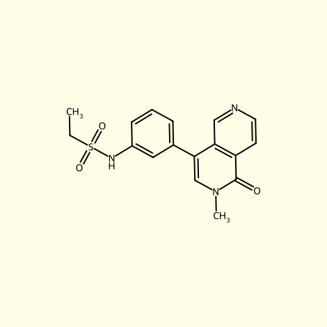 CCS(=O)(=O)Nc1cccc(-c2cn(C)c(=O)c3ccncc23)c1